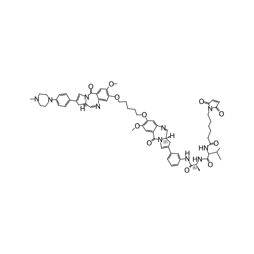 COc1cc2c(cc1OCCCCCOc1cc3c(cc1OC)C(=O)N1C=C(c4cccc(NC(=O)[C@H](C)NC(=O)C(NC(=O)CCCCCN5C(=O)C=CC5=O)C(C)C)c4)C[C@H]1C=N3)N=C[C@@H]1CC(c3ccc(N4CCN(C)CC4)cc3)=CN1C2=O